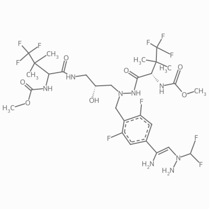 COC(=O)NC(C(=O)NC[C@@H](O)CN(Cc1c(F)cc(/C(N)=C/N(N)C(F)F)cc1F)NC(=O)[C@@H](NC(=O)OC)C(C)(C)C(F)(F)F)C(C)(C)C(F)(F)F